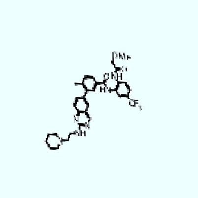 COCC(=O)Nc1ccc(C(F)(F)F)cc1NC(=O)c1ccc(C)c(-c2ccc3nc(NCCN4CCCCC4)ncc3c2)c1